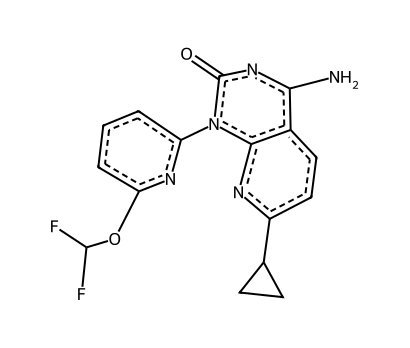 Nc1nc(=O)n(-c2cccc(OC(F)F)n2)c2nc(C3CC3)ccc12